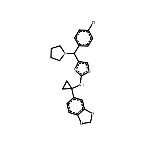 Clc1ccc(C(c2cnc(NC3(c4ccc5c(c4)OCO5)CC3)s2)N2CCCC2)cc1